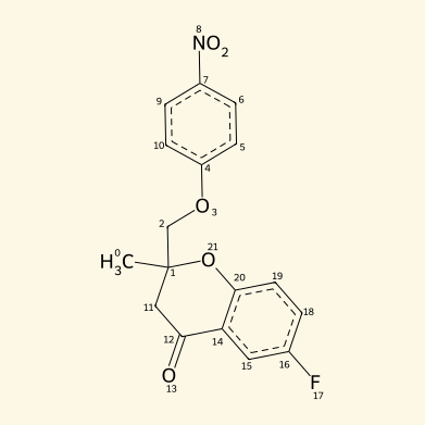 CC1(COc2ccc([N+](=O)[O-])cc2)CC(=O)c2cc(F)ccc2O1